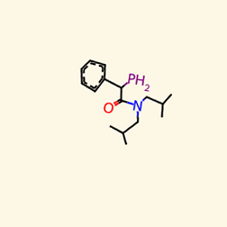 CC(C)CN(CC(C)C)C(=O)C(P)c1ccccc1